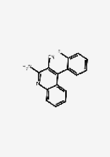 N#Cc1c(N)nc2ccccc2c1-c1ccccc1F